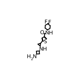 NC1CC(NC2CC2c2cc(C(=O)NC3CCC(F)(F)CC3)cs2)C1